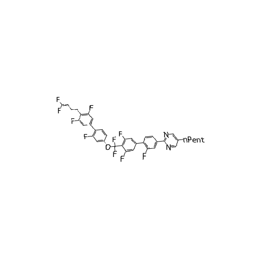 CCCCCc1cnc(-c2ccc(-c3cc(F)c(C(F)(F)Oc4ccc(-c5cc(F)c(CCC=C(F)F)c(F)c5)c(F)c4)c(F)c3)c(F)c2)nc1